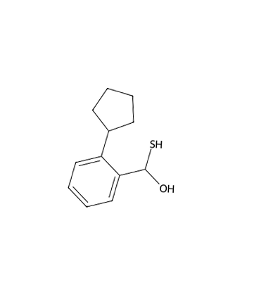 OC(S)c1ccccc1C1CCCC1